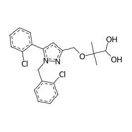 CC(C)(OCc1cc(-c2ccccc2Cl)n(Cc2ccccc2Cl)n1)C(O)O